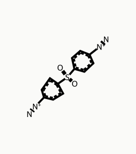 N#[N+]c1ccc(S(=O)(=O)c2ccc([N+]#N)cc2)cc1